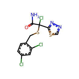 NC(=O)C(Cl)(SCc1ccc(Cl)cc1Cl)c1nncs1